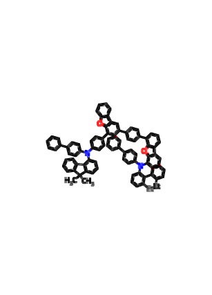 CCc1ccccc1-c1c(CC)cccc1N(c1ccc(-c2ccccc2)cc1)c1cccc2c1oc1c(-c3ccc(-c4cc(-c5ccc(N(c6ccc(-c7ccccc7)cc6)c6cccc7c6-c6ccccc6C7(C)C)cc5)c5oc6ccccc6c5c4)cc3)cccc12